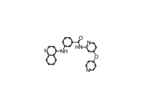 O=C(Nc1cc(Oc2ccncc2)ccn1)c1cccc(Nc2ccnc3ccccc23)c1